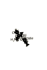 COc1cc(C(=O)NC[C@](O)(c2cc3c(c(-c4ccc(F)c(Cl)c4)n2)OC[C@]3(C(N)=O)C(F)F)C2CC2)cc2cn(C3CC3)nc12